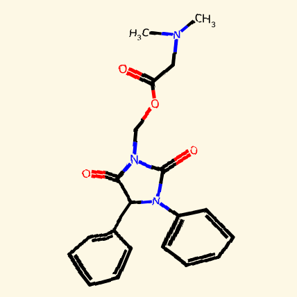 CN(C)CC(=O)OCN1C(=O)C(c2ccccc2)N(c2ccccc2)C1=O